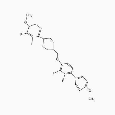 COc1ccc(-c2ccc(OCC3CCC(C4=CCC(OC)C(F)=C4F)CC3)c(F)c2F)cc1